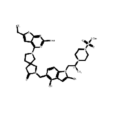 CNc1nc(N2CCC3(CC(=O)N(Cc4ccc5c(cc(C#N)n5C[C@H](C)N5CCN(S(=O)(=O)NC)CC5)c4C)C3)C2)c2cc(CC(F)(F)F)sc2n1